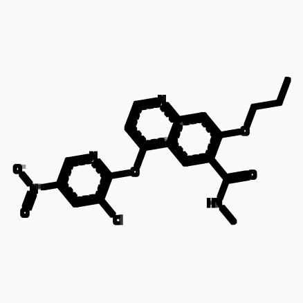 CCCOc1cc2nccc(Oc3ncc([N+](=O)[O-])cc3Cl)c2cc1C(=O)NC